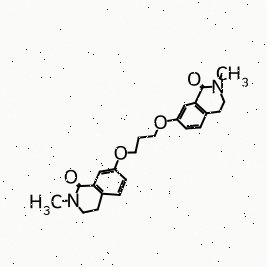 CN1CCc2ccc(OCCCOc3ccc4c(c3)C(=O)N(C)CC4)cc2C1=O